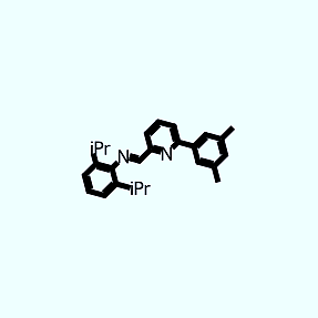 Cc1cc(C)cc(-c2cccc(C=Nc3c(C(C)C)cccc3C(C)C)n2)c1